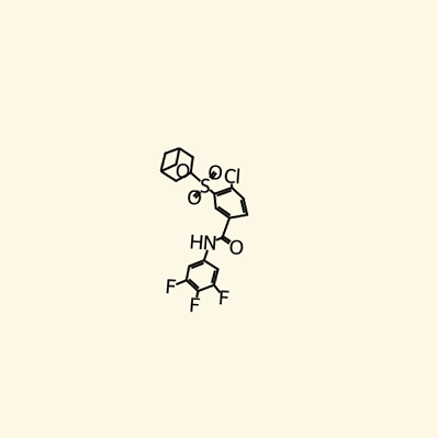 O=C(Nc1cc(F)c(F)c(F)c1)c1ccc(Cl)c(S(=O)(=O)C2CC3CC(C2)C3=O)c1